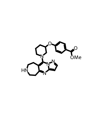 COC(=O)c1ccc(OC2CCCN(c3c4c(nc5ccnn35)CCNCC4)C2)cc1